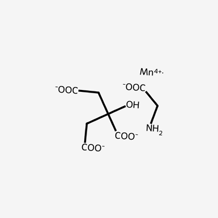 NCC(=O)[O-].O=C([O-])CC(O)(CC(=O)[O-])C(=O)[O-].[Mn+4]